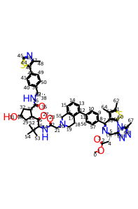 COC(=O)C[C@@H]1N=C(c2ccc(-c3cccc4c3CCN(CC(=O)NC(C(=O)C3C[C@H](O)CC3C(=O)N[C@@H](C)c3ccc(-c5scnc5C)cc3)C(C)(C)C)C4)cc2)c2c(sc(C)c2C)-n2c(C)nnc21